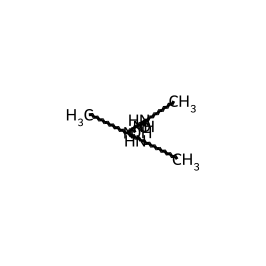 CCCCCCCCCCCCCCCN(CCCCNCCCCCCCCCCCCCC)CC(O)CNCC(=O)NCCCCCCCCCCCC